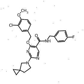 COc1ccc(COc2nc(N3CCC4(CC4)C3)ncc2C(=O)NCc2ccc(F)cc2)cc1Cl